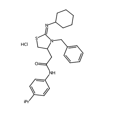 CC(C)c1ccc(NC(=O)CC2CSC(=NC3CCCCC3)N2Cc2ccccc2)cc1.Cl